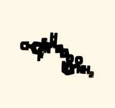 NC(=O)c1cccnc1O[C@H]1CC2(C[C@H](Nc3nc4c(F)cc(Cl)cc4s3)C2)C1